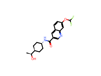 C[C@H](O)[C@H]1CC[C@H](NC(=O)c2cnc3cc(OC(F)F)ccc3c2)CC1